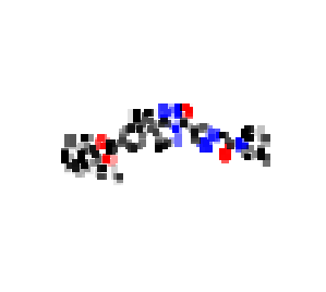 CN(C)C(=O)Cn1cc(C(=O)NC(=N)C(C)(c2ccc(B3OC(C)(C)C(C)(C)O3)cc2)C2CC2)cn1